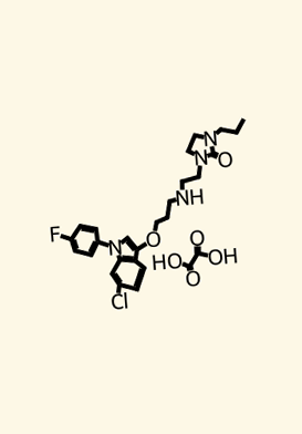 CCCN1CCN(CCNCCCOc2cn(-c3ccc(F)cc3)c3cc(Cl)ccc23)C1=O.O=C(O)C(=O)O